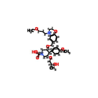 COCCCN1CCOc2ccc(CO[C@H]3CN(C(=O)O)C[C@@H](OCC(C)O)[C@@H]3c3ccc(OC)cc3)cc21